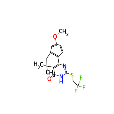 COc1ccc2c(c1)CC(C)(C)c1c-2nc(SCC(F)(F)F)[nH]c1=O